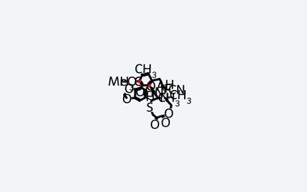 COc1c(C)cc2c(c1O)[C@@H]1C3[C@H](c4cc5c(c(C)c4OC(C)=O)OCO5)SCC(=O)C(=O)OC[C@@H](C)N3[C@@H](C#N)[C@H](C2)N1C